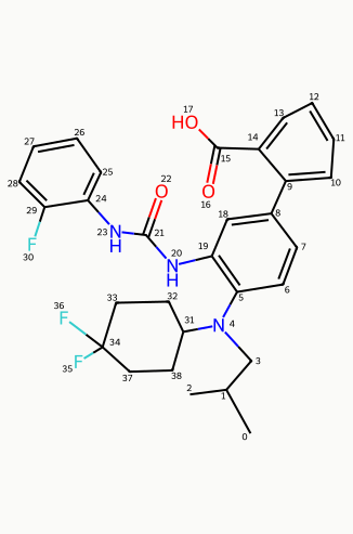 CC(C)CN(c1ccc(-c2ccccc2C(=O)O)cc1NC(=O)Nc1ccccc1F)C1CCC(F)(F)CC1